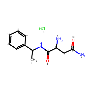 CC(NC(=O)C(N)CC(N)=O)c1ccccc1.Cl